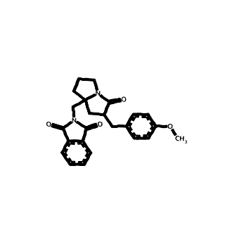 COc1ccc(CC2CC3(CN4C(=O)c5ccccc5C4=O)CCCN3C2=O)cc1